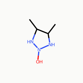 CC1NN(O)NC1C